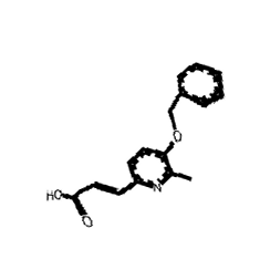 Cc1nc(/C=C/C(=O)O)ccc1OCc1ccccc1